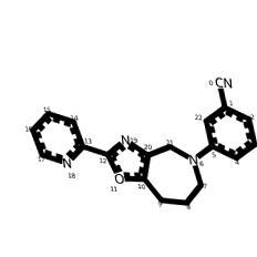 N#Cc1cccc(N2CCCc3oc(-c4ccccn4)nc3C2)c1